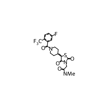 CNC(=O)CN1C(=O)SC(=C2CCN(C(=O)c3cc(F)ccc3C(F)(F)F)CC2)C1=O